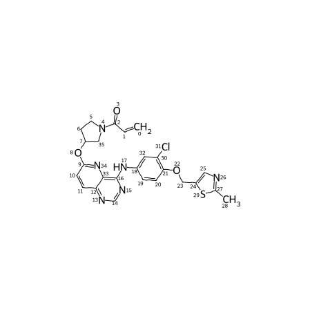 C=CC(=O)N1CCC(Oc2ccc3ncnc(Nc4ccc(OCc5cnc(C)s5)c(Cl)c4)c3n2)C1